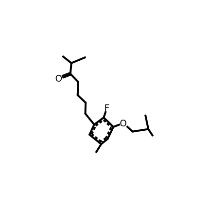 Cc1cc(CCCCC(=O)C(C)C)c(F)c(OCC(C)C)c1